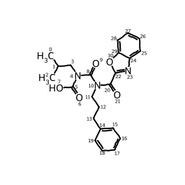 CC(C)CN(C(=O)O)C(=O)N(CCCc1ccccc1)C(=O)c1nc2ccccc2o1